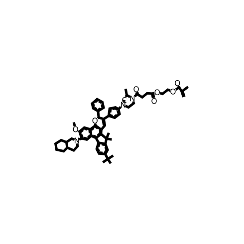 C=C(C)C(=O)OCCOC(=O)CCC(=O)N1CCN(c2ccc(C3=Cc4c5c(c6cc(N7CCC8CCCCC8C7)c(OC)cc6c4OC3c3ccccc3)-c3ccc(C(C)(C)C)cc3C5(C)C)cc2)CC1C